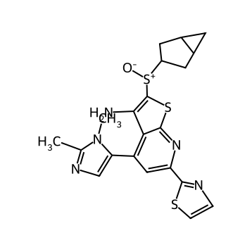 Cc1ncc(-c2cc(-c3nccs3)nc3sc([S+]([O-])C4CC5CC5C4)c(N)c23)n1C